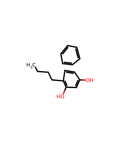 CCCCc1ccc(O)cc1O.c1ccccc1